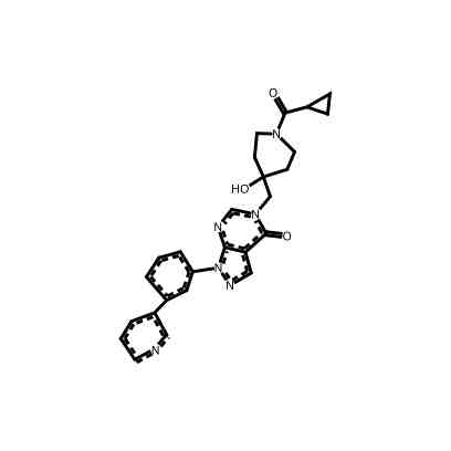 O=C(C1CC1)N1CCC(O)(Cn2cnc3c(cnn3-c3cccc(-c4cccnc4)c3)c2=O)CC1